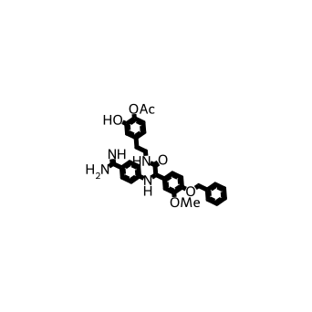 COc1cc(C(Nc2ccc(C(=N)N)cc2)C(=O)NCCc2ccc(OC(C)=O)c(O)c2)ccc1OCc1ccccc1